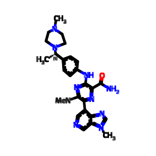 CNc1nc(Nc2ccc([C@H](C)N3CCN(C)CC3)cc2)c(C(N)=O)nc1-c1cncc2c1ncn2C